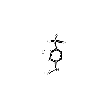 NNc1ccc(S(=O)(=O)[O-])cc1.[K+]